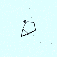 C1NC2C3C1C23